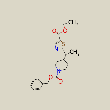 CCOC(=O)c1cnc(C(C)C2CCN(C(=O)OCc3ccccc3)CC2)s1